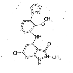 COc1c(Nc2cc(Cl)nc3[nH]n(C)c(=O)c23)cccc1-n1cccn1